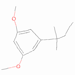 CCC(C)(C)c1cc(OC)cc(OC)c1